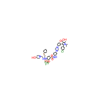 Cc1c(C(=O)O)c(-c2cccc(N3CCN(c4ccc(NS(=O)(=O)c5ccc(N[C@H](CCN6CCC(O)CC6)CSc6ccccc6)c(S(=O)(=O)C(F)(F)F)c5)cc4)CC3)c2)c(-c2ccc(Cl)cc2)n1C(C)C